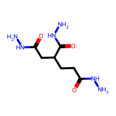 NNC(=O)CCC(CC(=O)NN)C(=O)NN